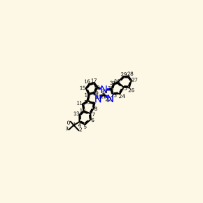 CC(C)(C)c1ccc2cc3c(cc2c1)c1cccc2c1n3c1nc3cc4ccccc4cc3n21